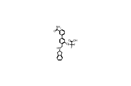 NC(=O)c1cccc(-c2ccc(CNC3Cc4ccccc4C3)c(Cl)c2)c1.O=C(O)C(F)(F)F